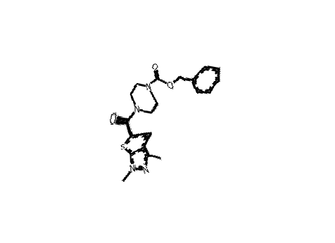 Cc1nn(C)c2sc(C(=O)N3CCN(C(=O)OCc4ccccc4)CC3)cc12